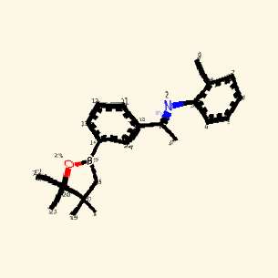 C/C(=N\c1ccccc1C)c1cccc(B2CC(C)(C)C(C)(C)O2)c1